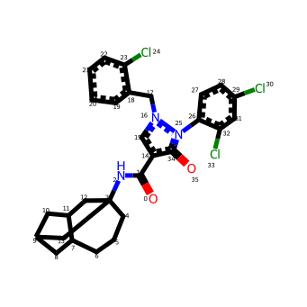 O=C(NC12CCCC3CC(CC3C1)C2)c1cn(Cc2ccccc2Cl)n(-c2ccc(Cl)cc2Cl)c1=O